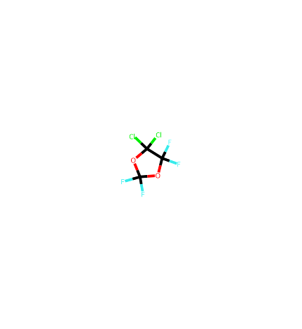 FC1(F)OC(F)(F)C(Cl)(Cl)O1